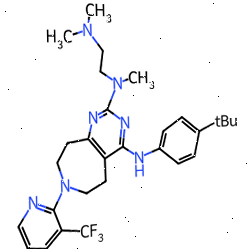 CN(C)CCN(C)c1nc2c(c(Nc3ccc(C(C)(C)C)cc3)n1)CCN(c1ncccc1C(F)(F)F)CC2